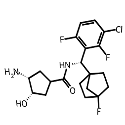 N[C@@H]1CC(C(=O)N[C@H](c2c(F)ccc(Cl)c2F)C23CCC(F)(CC2)C3)C[C@@H]1O